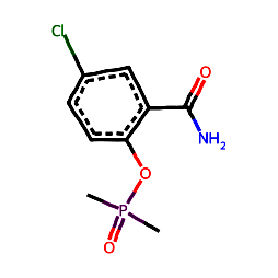 CP(C)(=O)Oc1ccc(Cl)cc1C(N)=O